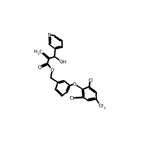 C=C(C(=O)OCc1cccc(Oc2c(Cl)cc(C(F)(F)F)cc2Cl)c1)C(O)c1cccnc1